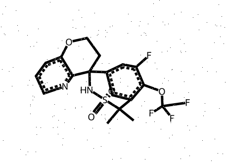 CC(C)(C)S(=O)(=O)NC1(c2ccc(OC(F)(F)F)c(F)c2)CCOc2cccnc21